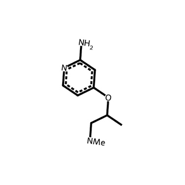 CNCC(C)Oc1ccnc(N)c1